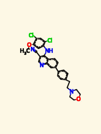 COc1cc(Nc2c(C#N)cnc3cc(-c4ccc(CCN5CCOCC5)cc4)ccc23)c(Cl)cc1Cl